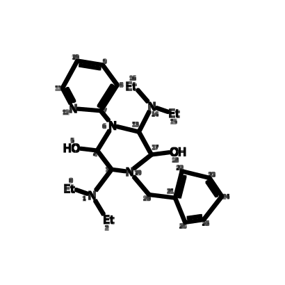 CCN(CC)C1C(O)N(c2ccccn2)C(N(CC)CC)C(O)N1Cc1ccccc1